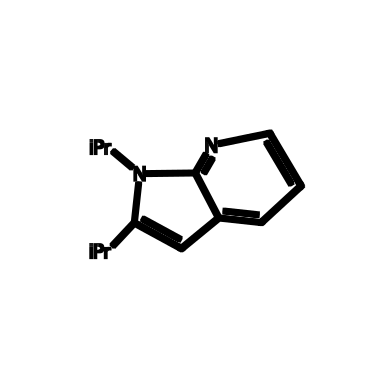 CC(C)c1cc2cccnc2n1C(C)C